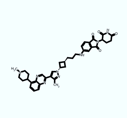 Cc1nn([C@H]2C[C@H](CCCNc3ccc4c(c3)C(=O)N(C3CCC(=O)NC3=O)C4=O)C2)cc1-c1cnc2c(C3CCN(C)CC3)cccc2n1